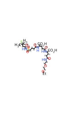 CCOCCOCCNC(=O)CCC(NC(=O)CCC(NC(=O)CCCS(=O)(=O)NC(=O)CC(C)(C)F)C(=O)O)C(=O)O